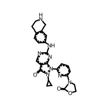 O=C1OCCN1c1cccc(-n2c3nc(Nc4ccc5c(c4)CNCC5)ncc3c(=O)n2C2CC2)n1